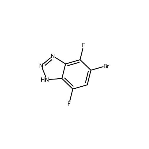 Fc1c(Br)cc(F)c2[nH]nnc12